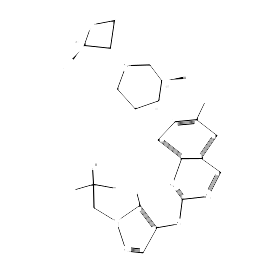 C[C@H]1OC[C@@H]1N1CC[C@@H](c2cc3nc(Nc4cnn(CC(C)(C)O)c4Cl)ncc3cc2Cl)[C@H](F)C1